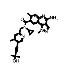 Cc1cc(CN(C(=O)c2cc3c(cc2C)nc(N)c2cnn(C)c23)C2CC2)ncc1C#CC(C)(C)O